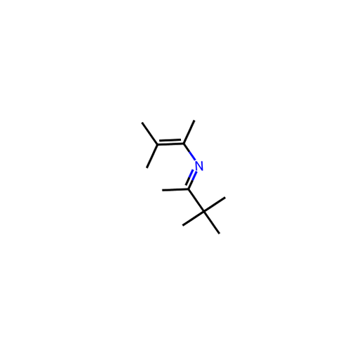 CC(C)=C(C)/N=C(\C)C(C)(C)C